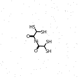 O=[C]([Ni][C](=O)C(S)S)C(S)S